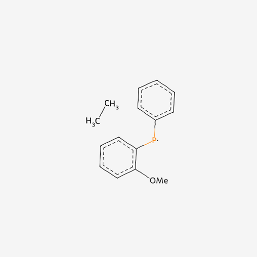 CC.COc1ccccc1[P]c1ccccc1